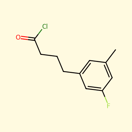 Cc1cc(F)cc(CCCC(=O)Cl)c1